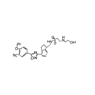 CC(C)Oc1ccc(-c2nc(-c3cccc4c3CCC4CNS(=O)(=O)CCNCCO)no2)cc1C#N